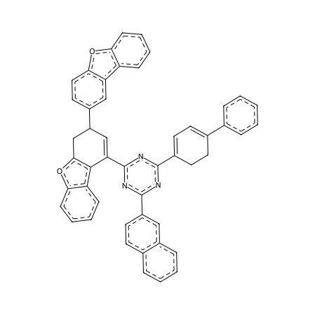 C1=C(c2ccccc2)CCC(c2nc(C3=CC(c4ccc5oc6ccccc6c5c4)Cc4oc5ccccc5c43)nc(-c3ccc4ccccc4c3)n2)=C1